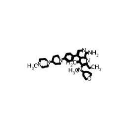 C=C1C(N(C)C2CCOCC2)=C(CC)N=C2C(N)=NC=C(c3ccc(N4CCC(N5CCN(C)CC5)CC4)cc3)C12